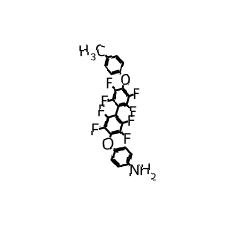 Cc1ccc(Oc2c(F)c(F)c(-c3c(F)c(F)c(Oc4ccc(N)cc4)c(F)c3F)c(F)c2F)cc1